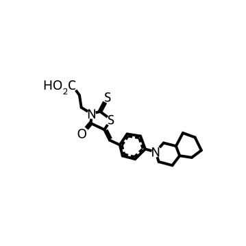 O=C(O)CCN1C(=O)C(=Cc2ccc(N3CCC4CCCCC4C3)cc2)SC1=S